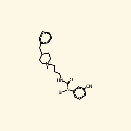 C[N+]1(CCCNC(=O)N(Br)c2cccc(C#N)c2)CCC(Cc2ccccc2)CC1